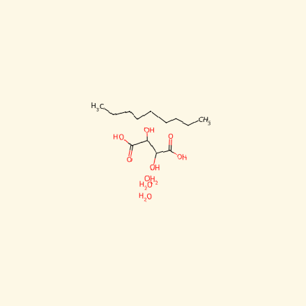 CCCCCCCCC.O.O.O.O=C(O)C(O)C(O)C(=O)O